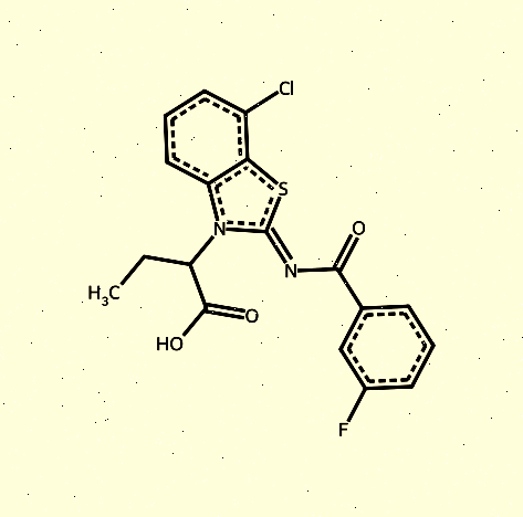 CCC(C(=O)O)n1c(=NC(=O)c2cccc(F)c2)sc2c(Cl)cccc21